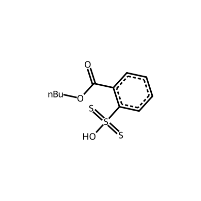 CCCCOC(=O)c1ccccc1S(O)(=S)=S